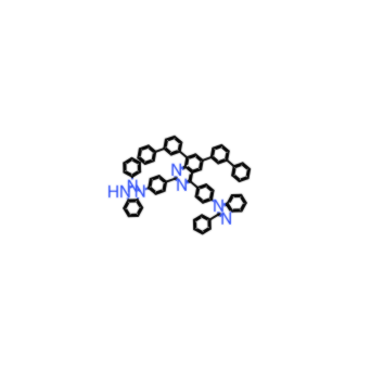 c1ccc(-c2cccc(-c3cc(-c4cccc(-c5ccccc5)c4)c4nc(-c5ccc(N6c7ccccc7NN6c6ccccc6)cc5)nc(-c5ccc(-n6c(-c7ccccc7)nc7ccccc76)cc5)c4c3)c2)cc1